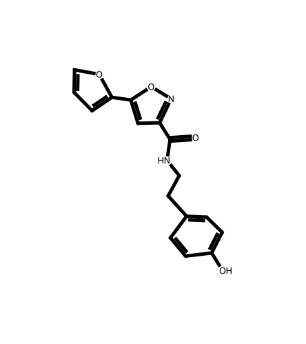 O=C(NCCc1ccc(O)cc1)c1cc(-c2ccco2)on1